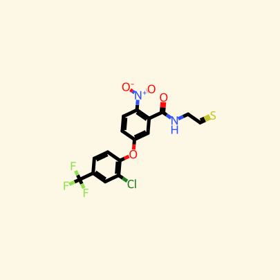 O=C(NCC=S)c1cc(Oc2ccc(C(F)(F)F)cc2Cl)ccc1[N+](=O)[O-]